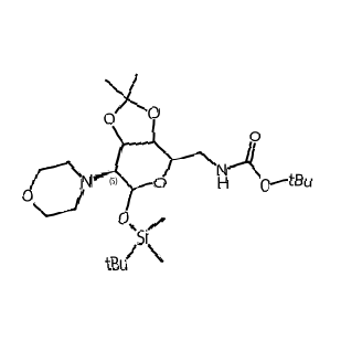 CC(C)(C)OC(=O)NCC1OC(O[Si](C)(C)C(C)(C)C)[C@@H](N2CCOCC2)C2OC(C)(C)OC12